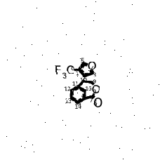 FC(F)(F)c1ccoc1.O=C1OCCc2cccc1c2